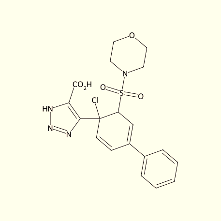 O=C(O)c1[nH]nnc1C1(Cl)C=CC(c2ccccc2)=CC1S(=O)(=O)N1CCOCC1